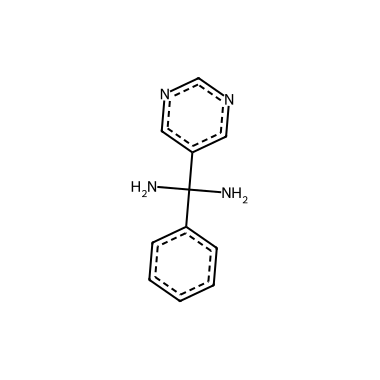 NC(N)(c1ccccc1)c1cncnc1